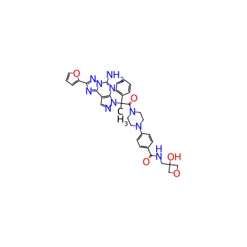 CC(C(=O)N1CCN(c2ccc(C(=O)NCC3(O)COC3)cc2)CC1)(c1ccccc1)n1ncc2c1nc(N)n1nc(-c3ccco3)nc21